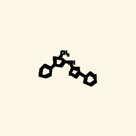 Cn1nc(-c2ccccc2)cc1Nc1nc(-c2cccnc2)cs1